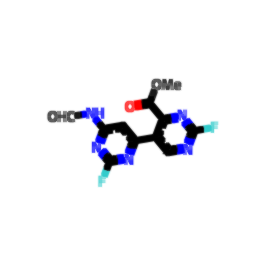 COC(=O)c1nc(F)n[c]c1-c1cc(NC=O)nc(F)n1